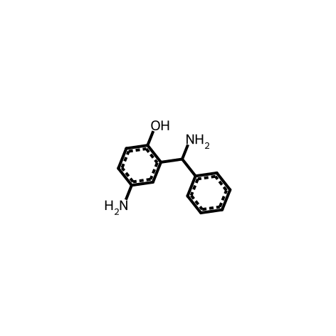 Nc1ccc(O)c(C(N)c2ccccc2)c1